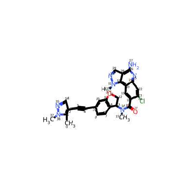 Cc1c(C#Cc2ccc3c(c2)OCC3N(C)C(=O)c2cc3c(cc2Cl)nc(N)c2cnn(C)c23)cnn1C